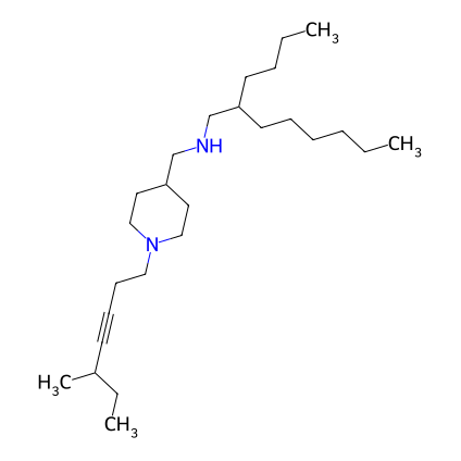 CCCCCCC(CCCC)CNCC1CCN(CCC#CC(C)CC)CC1